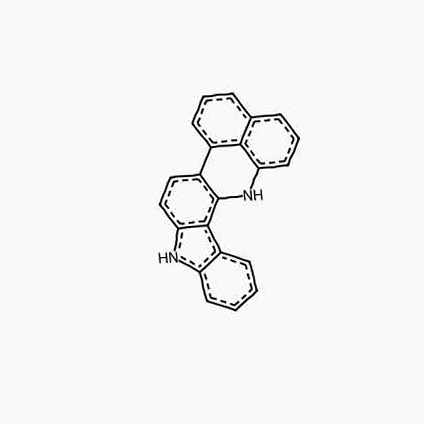 c1cc2c3c(cccc3c1)-c1ccc3[nH]c4ccccc4c3c1N2